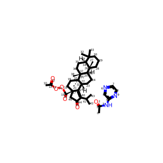 CC(=O)Nc1cnccn1.CC(=O)OOC(=O)[C@@]12CC[C@]3(C)[C@H](CC[C@@H]4[C@@]5(C)CCCC(C)(C)[C@@H]5CC[C@]43C)C1=C(C(C)C)C(=O)C2